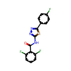 O=C(Nc1nnc(-c2ccc(F)cc2)s1)c1c(F)cccc1F